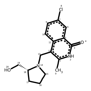 Cc1[nH]c(=O)c2cc(Cl)ccc2c1CN1CCC[C@@H]1CO